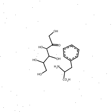 NC(Cc1ccccc1)C(=O)O.O=C(CO)C(O)C(O)C(O)CO